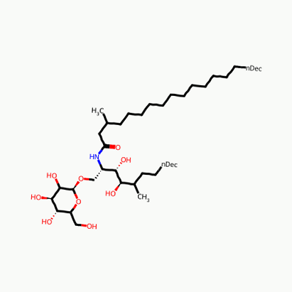 CCCCCCCCCCCCCCCCCCCCCCC(C)CC(=O)N[C@@H](CO[C@H]1OC(CO)[C@H](O)[C@@H](O)C1O)[C@H](O)[C@H](O)C(C)CCCCCCCCCCCC